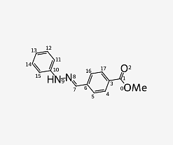 COC(=O)c1ccc(C=NNc2ccccc2)cc1